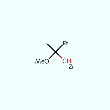 CCC(C)(O)OC.[Zr]